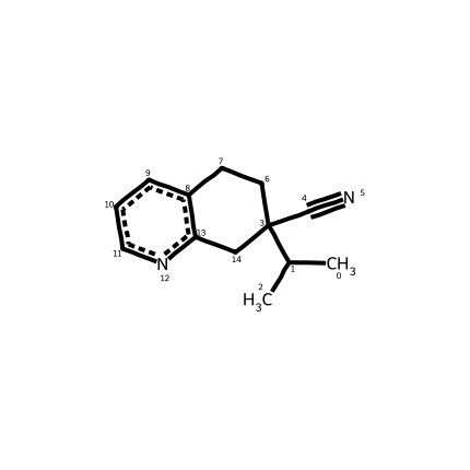 CC(C)C1(C#N)CCc2cccnc2C1